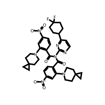 O=C(c1ccc([N+](=O)[O-])cc1N1CCC2(CC1)CC2)N(C(=O)c1ccc([N+](=O)[O-])cc1N1CCC2(CC1)CC2)c1nccc(C2CCC(F)(F)CC2)n1